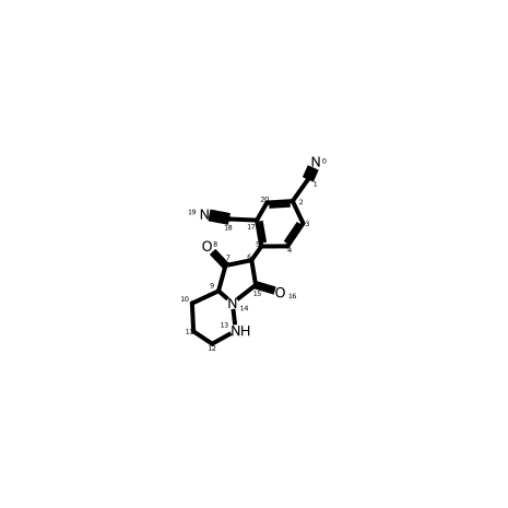 N#Cc1ccc(C2C(=O)C3CCCNN3C2=O)c(C#N)c1